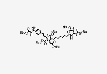 CC(C)(C)OC(=O)/N=C(/NCCCCCCCCN(C(=O)OC(C)(C)C)/C(=N\C(=O)OC(C)(C)C)N(C/C=C/c1ccc(C(=N)NC(=O)OC(C)(C)C)cc1)C(=O)OC(C)(C)C)NC(=O)OC(C)(C)C